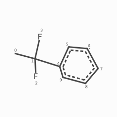 CC(F)(F)c1c[c]ccc1